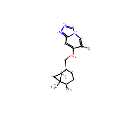 C[C@@H]1CC[C@H](COc2cc3nncn3cc2Br)[C@@H]2CC12C